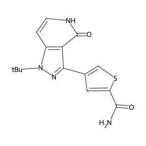 CC(C)(C)n1nc(-c2csc(C(N)=O)c2)c2c(=O)[nH]ccc21